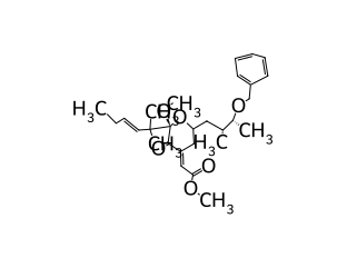 CC/C=C/C(C)(C)[C@]1(OC)OC(C[C@@H](C)[C@@H](C)OCc2ccccc2)C/C(=C\C(=O)OC)C1=O